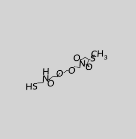 CSC1CC(=O)N(CCOCCOCCC(=O)NCCS)C1=O